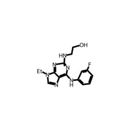 CCn1cnc2c(Nc3cccc(F)c3)nc(NCCO)nc21